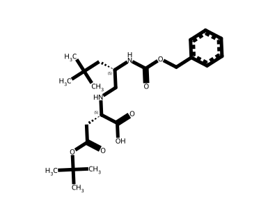 CC(C)(C)C[C@@H](CN[C@@H](CC(=O)OC(C)(C)C)C(=O)O)NC(=O)OCc1ccccc1